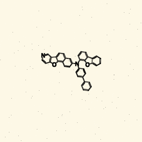 c1ccc(-c2ccc(N(c3ccc4c(ccc5c6cnccc6oc45)c3)c3cccc4c3oc3ccccc34)cc2)cc1